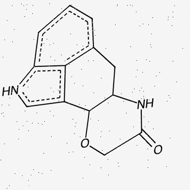 O=C1COC2c3c[nH]c4cccc(c34)CC2N1